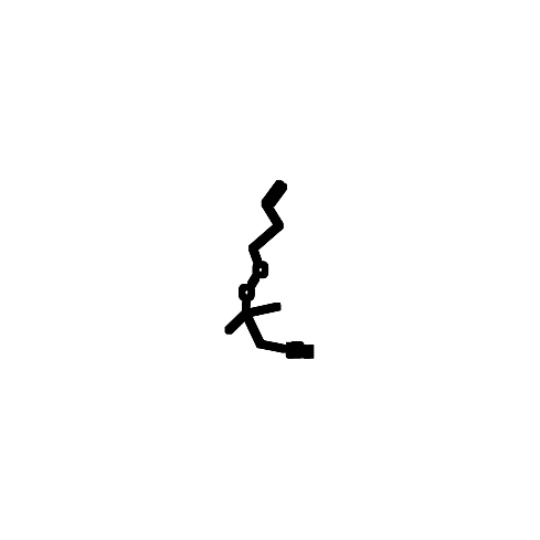 C=CCCOOC(C)(C)CC(C)(C)C